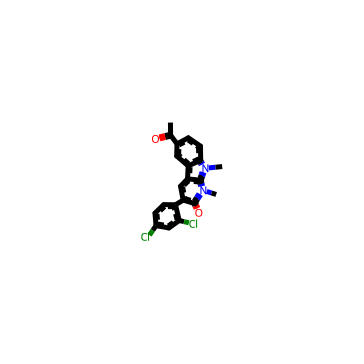 CC(=O)c1ccc2c(c1)c1cc(-c3ccc(Cl)cc3Cl)c(=O)n(C)c1n2C